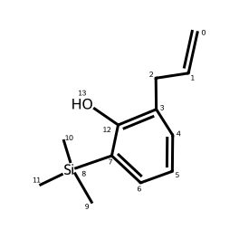 C=CCc1cccc([Si](C)(C)C)c1O